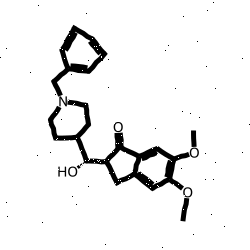 COc1cc2c(cc1OC)C(=O)C([C@H](O)C1CCN(Cc3ccccc3)CC1)C2